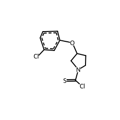 S=C(Cl)N1CCC(Oc2cccc(Cl)c2)C1